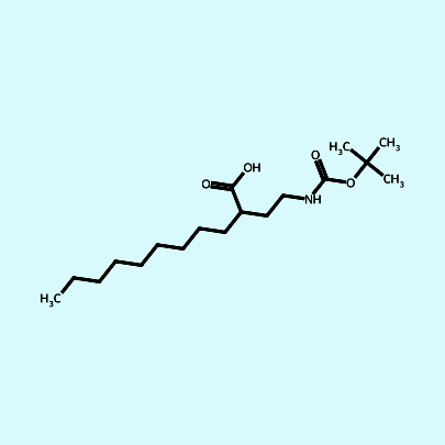 CCCCCCCCCC(CCNC(=O)OC(C)(C)C)C(=O)O